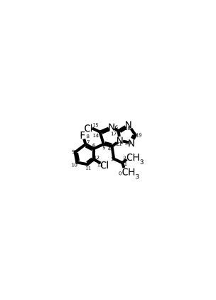 CC(C)Cc1c(-c2c(F)cccc2Cl)c(Cl)nc2ncnn12